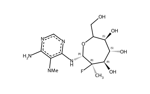 CNc1c(N)ncnc1N[C@@H]1OC(CO)[C@@H](O)[C@H](O)[C@@H](O)[C@@]1(C)F